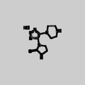 Cl.O=C1NCCN1c1nsnc1N1CCNCC1